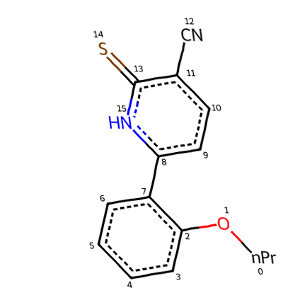 CCCOc1ccccc1-c1ccc(C#N)c(=S)[nH]1